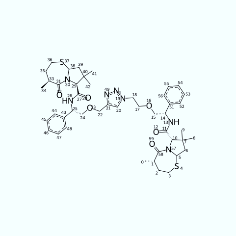 C[C@H]1CCSC2CC(C)(C)[C@@H](C(=O)N[C@H](COCCn3cc(COC[C@@H](NC(=O)[C@H]4N5C(=O)[C@@H](C)CCSC5CC4(C)C)c4ccccc4)nn3)c3ccccc3)N2C1=O